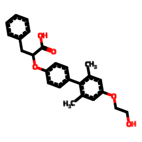 Cc1cc(OCCO)cc(C)c1-c1ccc(OC(Cc2ccccc2)C(=O)O)cc1